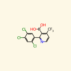 OB(O)c1c(C(F)(F)F)ccnc1-c1cc(Cl)c(Cl)cc1Cl